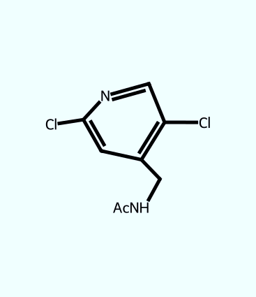 CC(=O)NCc1cc(Cl)ncc1Cl